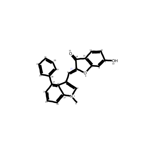 Cn1cc(/C=C2\Oc3cc(O)ccc3C2=O)c2c(-c3ccccc3)cccc21